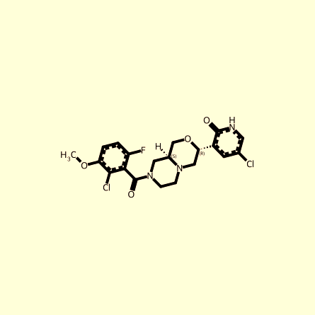 COc1ccc(F)c(C(=O)N2CCN3C[C@@H](c4cc(Cl)c[nH]c4=O)OC[C@@H]3C2)c1Cl